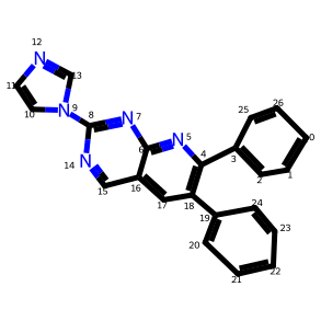 [c]1ccc(-c2nc3nc(-n4ccnc4)ncc3cc2-c2ccccc2)cc1